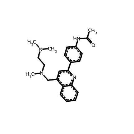 CC(=O)Nc1ccc(-c2cc(CN(C)CCN(C)C)c3ccccc3n2)cc1